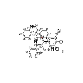 C[C@H]1C(=O)C(C#N)=C[C@@]2(c3ccccc3)c3nc(-c4ccnc5ccccc45)nc(-c4ccccc4F)c3CC[C@H]12